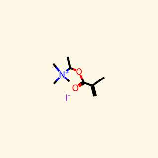 C=C(C)C(=O)OC(C)[N+](C)(C)C.[I-]